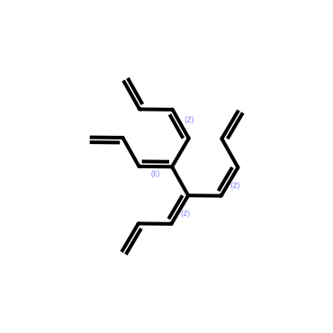 C=C\C=C/C(=C/C=C)C(/C=C\C=C)=C/C=C